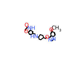 COc1ccc2ncnc(OCC3CCC(NCc4ccc5c(c4)NC(=O)CO5)CC3)c2c1